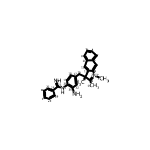 CC1=[N+](C)c2cc3ccccc3cc2C1(C)Cc1ccc(NC(=N)c2ccccc2)c(N)c1